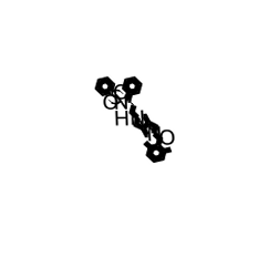 Cc1cccc(C)c1C(=O)N1CC2CN(CC[C@H](NS(=O)(=O)c3ccccc3)c3ccccc3)CC2C1